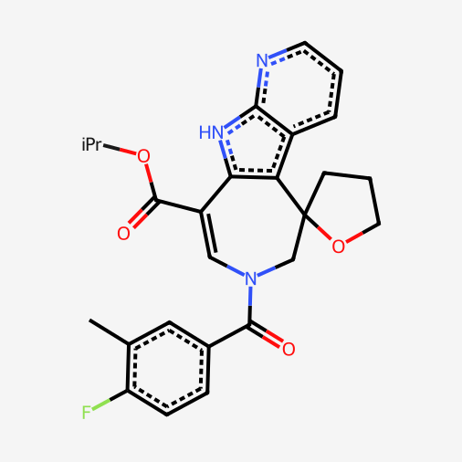 Cc1cc(C(=O)N2C=C(C(=O)OC(C)C)c3[nH]c4ncccc4c3C3(CCCO3)C2)ccc1F